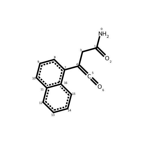 NC(=O)CC(=C=O)c1cccc2ccccc12